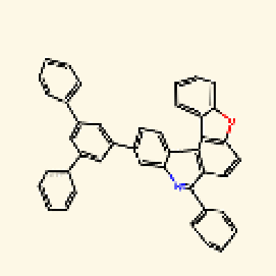 c1ccc(-c2cc(-c3ccccc3)cc(-c3ccc4c(c3)nc(-c3ccccc3)c3ccc5oc6ccccc6c5c34)c2)cc1